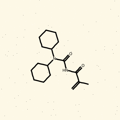 C=C(C)C(=O)NC(=O)N(C1CCCCC1)C1CCCCC1